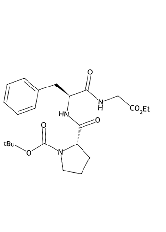 CCOC(=O)CNC(=O)[C@H](Cc1ccccc1)NC(=O)[C@@H]1CCCN1C(=O)OC(C)(C)C